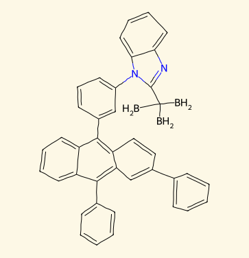 BC(B)(B)c1nc2ccccc2n1-c1cccc(-c2c3ccccc3c(-c3ccccc3)c3cc(-c4ccccc4)ccc23)c1